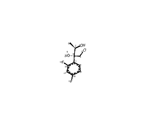 C[C@@H](O)[C@@](O)(CCl)c1ccc(F)cc1F